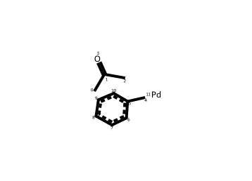 CC(C)=O.Cc1ccccc1.[Pd]